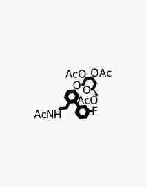 CC(=O)NCCc1ccc(O[C@H]2O[C@H](COC(C)=O)C[C@H](OC(C)=O)[C@@H]2OC(C)=O)cc1-c1cccc(F)c1